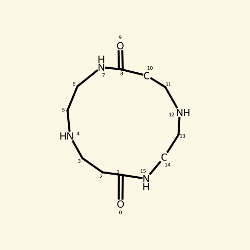 O=C1CCNCCNC(=O)CCNCCN1